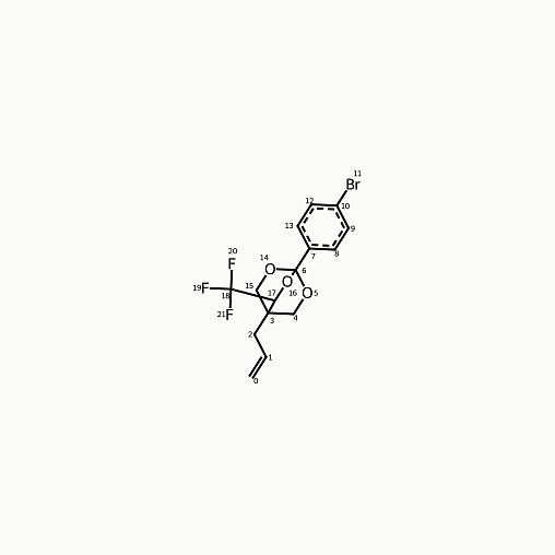 C=CCC12COC(c3ccc(Br)cc3)(OC1)OC2C(F)(F)F